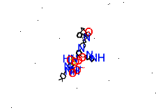 CC1OCCN(C2CC3(CCN(c4ccc(C(=O)NS(=O)(=O)c5cnc(NCC6CCC(C)(C)CC6)c([N+](=O)[O-])c5)c(Oc5cnc6[nH]ccc6c5)c4)CC3)C2)[C@H]1c1ccccc1C1CC1